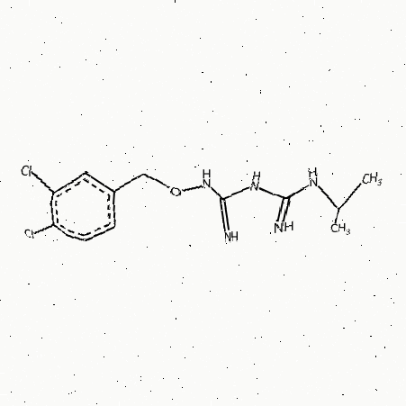 CC(C)NC(=N)NC(=N)NOCc1ccc(Cl)c(Cl)c1